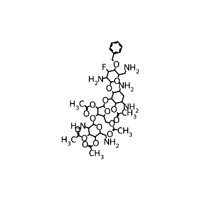 CC(=O)OCC1OC(OC2C(OC(C)=O)C(N)CC(N)C2OC2OC(CN)C(OCc3ccccc3)C(F)C2N)C(OC(C)=O)C1OC1OC(CN)C(OC(C)=O)C(OC(C)=O)C1N